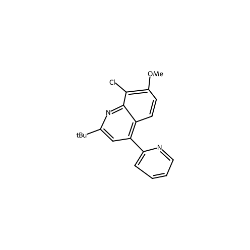 COc1ccc2c(-c3ccccn3)cc(C(C)(C)C)nc2c1Cl